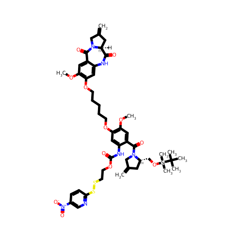 C=C1C[C@@H](CO[Si](C)(C)C(C)(C)C)N(C(=O)c2cc(OC)c(OCCCCCOc3cc4c(cc3OC)C(=O)N3CC(=C)C[C@H]3C(=O)N4)cc2NC(=O)OCCSSc2ccc([N+](=O)[O-])cn2)C1